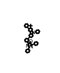 CC1(C)c2ccccc2-c2cc3c4cc(-c5cccc6c5oc5c(-c7ccccc7)nc(-c7ccccc7)nc56)ccc4n(-c4ccccc4)c3cc21